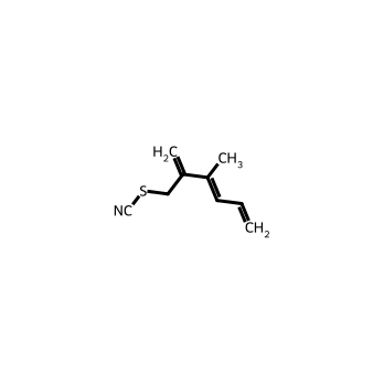 C=C/C=C(\C)C(=C)CSC#N